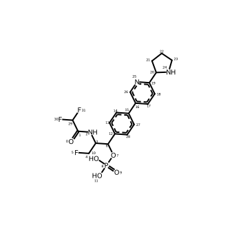 O=C(NC(CF)C(OP(=O)(O)O)c1ccc(-c2ccc(C3CCCN3)nc2)cc1)C(F)F